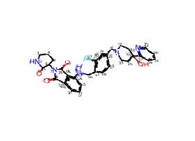 O=C1NCCCC1N1C(=O)c2cccc(NCc3ccc(CN4CCC(O)(c5ccccn5)CC4)cc3F)c2C1=O